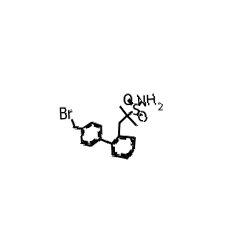 CC(C)(Cc1ccccc1-c1ccc(CBr)cc1)S(N)(=O)=O